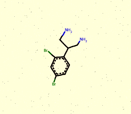 NCC(CN)c1ccc(Br)cc1Br